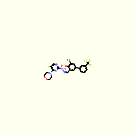 Oc1c(Cl)cc(-c2cccc(C(F)(F)F)c2)cc1/C=N\Nc1ncc(F)c(N2CCOCC2)n1